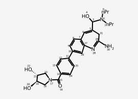 CCCN(CCC)C(O)C1=Cc2ccc(-c3ccc(C(=O)N4C[C@@H](O)[C@H](O)C4)cc3)cc2N=C(N)C1